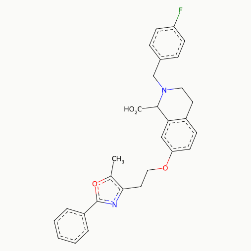 Cc1oc(-c2ccccc2)nc1CCOc1ccc2c(c1)C(C(=O)O)N(Cc1ccc(F)cc1)CC2